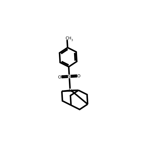 Cc1ccc(S(=O)(=O)N2C3CC4CC(C3)CC2C4)cc1